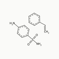 C=Cc1ccccc1.Nc1ccc(S(N)(=O)=O)cc1